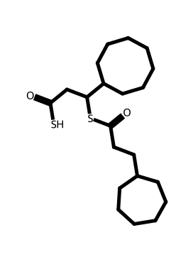 O=C(S)CC(SC(=O)CCC1CCCCCC1)C1CCCCCCC1